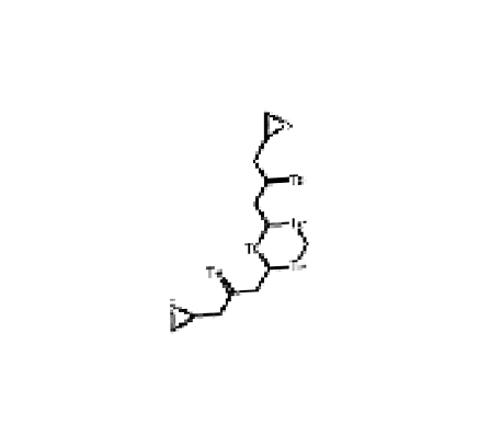 [Te]=C(CC1CS1)CC1[Te]C[Te]C(CC(=[Te])CC2CS2)[Te]1